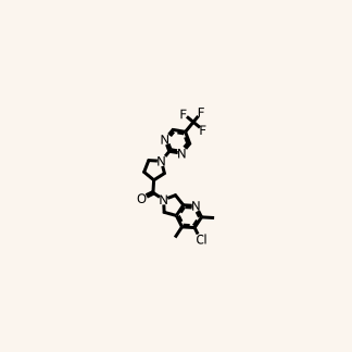 Cc1nc2c(c(C)c1Cl)CN(C(=O)C1CCN(c3ncc(C(F)(F)F)cn3)C1)C2